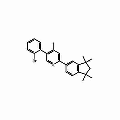 Cc1cc(-c2ccc3c(c2)C(C)(C)CC3(C)C)ncc1-c1ccccc1Br